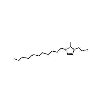 CCCCCCCCCCCN1C=CN(CCC)C1C